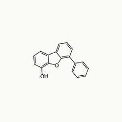 Oc1cccc2c1oc1c(-c3ccccc3)cccc12